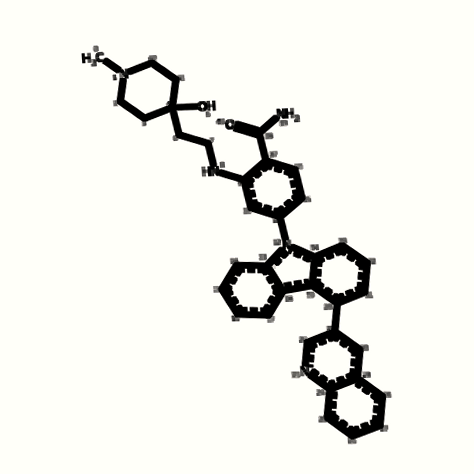 CN1CCC(O)(CCNc2cc(-n3c4ccccc4c4c(-c5cnc6ccccc6c5)cccc43)ccc2C(N)=O)CC1